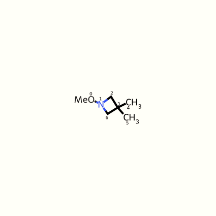 CON1CC(C)(C)C1